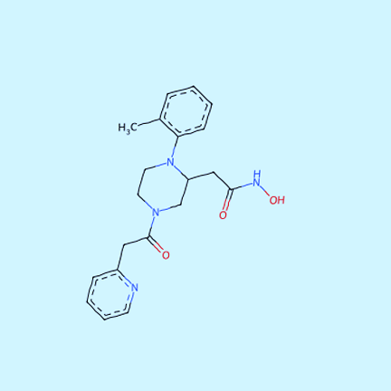 Cc1ccccc1N1CCN(C(=O)Cc2ccccn2)CC1CC(=O)NO